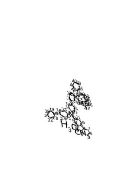 CC1(C)c2ccccc2-c2ccc(N(c3ccc(-c4ccccc4)cc3)c3ccc(-c4ccc5c(c4)C4(c6ccccc6-5)C5CC6CC(C5)CC4C6)cc3)cc21